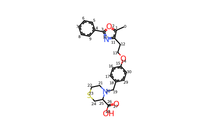 Cc1oc(-c2ccccc2)nc1CCOc1ccc(CN2CCSCC2C(=O)O)cc1